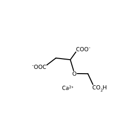 O=C([O-])CC(OCC(=O)O)C(=O)[O-].[Ca+2]